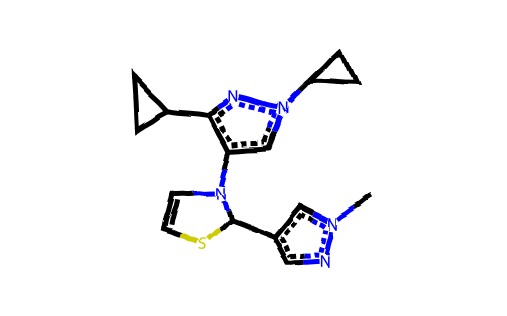 Cn1cc(C2SC=CN2c2cn(C3CC3)nc2C2CC2)cn1